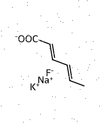 C/C=C/C=C/C(=O)[O-].[F-].[K+].[Na+]